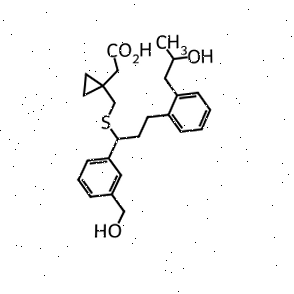 CC(O)Cc1ccccc1CCC(SCC1(CC(=O)O)CC1)c1cccc(CO)c1